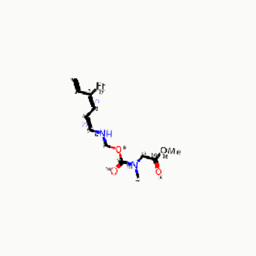 C=C/C(=C\C=C/NCOC(=O)N(C)CC(=O)OC)CC